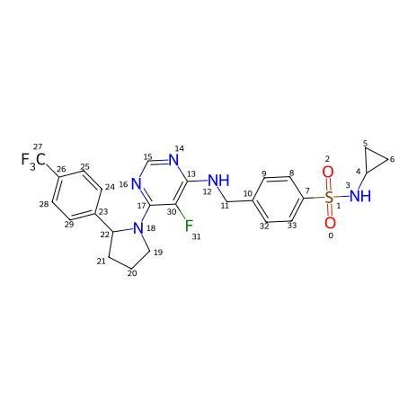 O=S(=O)(NC1CC1)c1ccc(CNc2ncnc(N3CCCC3c3ccc(C(F)(F)F)cc3)c2F)cc1